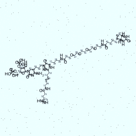 CC1(CCC(=O)NCCSSCCC(=O)N[C@@H](CCCCNC(=O)CCOCCOCCOCCOCCNC(=O)CCCC[C@@H]2SC[C@@H]3NC(=O)N[C@@H]32)C(=O)NCCCc2cn([C@@H]3O[C@H](COP(=O)(O)O)[C@H](OP(=O)(O)O)[C@@H]3O)c(=O)nc2N)NN1